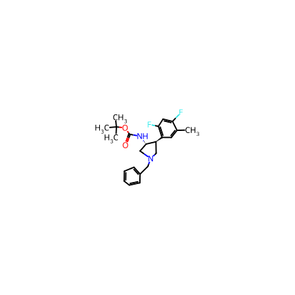 Cc1cc([C@H]2CN(Cc3ccccc3)C[C@@H]2NC(=O)OC(C)(C)C)c(F)cc1F